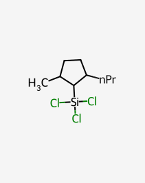 CCCC1CCC(C)C1[Si](Cl)(Cl)Cl